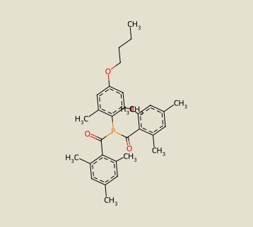 CCCCOc1cc(C)c(P(C(=O)c2c(C)cc(C)cc2C)C(=O)c2c(C)cc(C)cc2C)c(C)c1